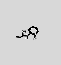 CCC(O)Nc1cccc[n+]1[O-]